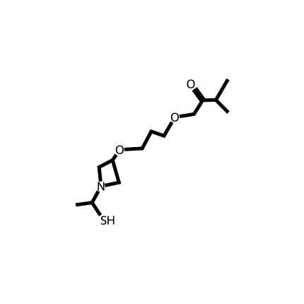 CC(C)C(=O)COCCCOC1CN(C(C)S)C1